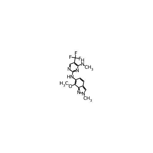 CNc1nc(Nc2ccc3cn(C)nc3c2OC)ncc1C(F)(F)F